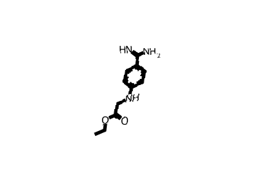 CCOC(=O)CNc1ccc(C(=N)N)cc1